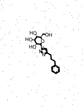 OC[C@H]1OC(n2cc(CCCc3ccccc3)nn2)[C@H](O)[C@@H](O)[C@@H]1O